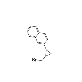 BrCC1CC1c1ccc2ccccc2c1